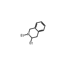 CCC1Cc2ccccc2CN1CC